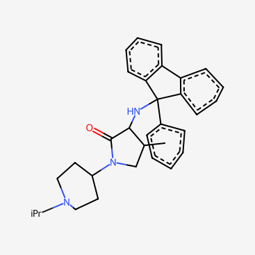 CC1CN(C2CCN(C(C)C)CC2)C(=O)C1NC1(c2ccccc2)c2ccccc2-c2ccccc21